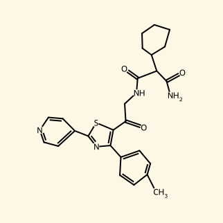 Cc1ccc(-c2nc(-c3ccncc3)sc2C(=O)CNC(=O)C(C(N)=O)C2CCCCC2)cc1